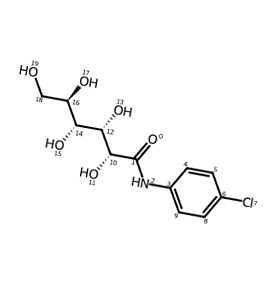 O=C(Nc1ccc(Cl)cc1)[C@H](O)[C@@H](O)[C@H](O)[C@H](O)CO